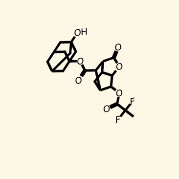 CC(F)(F)C(=O)OC1C2CC3C1OC(=O)C3C2C(=O)OC12CC3CC(CC(O)(C3)C1)C2